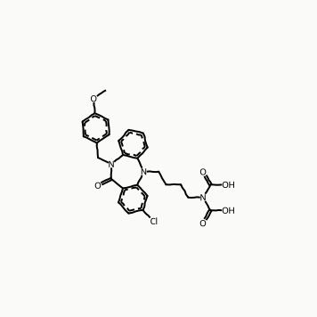 COc1ccc(CN2C(=O)c3ccc(Cl)cc3N(CCCCN(C(=O)O)C(=O)O)c3ccccc32)cc1